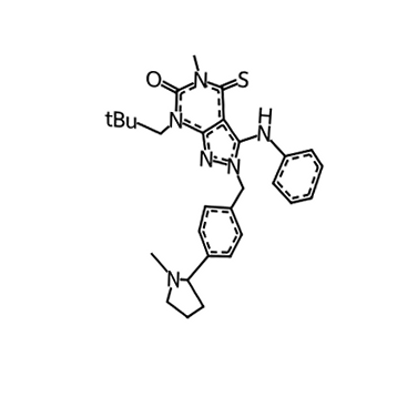 CN1CCCC1c1ccc(Cn2nc3c(c2Nc2ccccc2)c(=S)n(C)c(=O)n3CC(C)(C)C)cc1